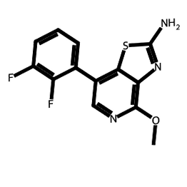 COc1ncc(-c2cccc(F)c2F)c2sc(N)nc12